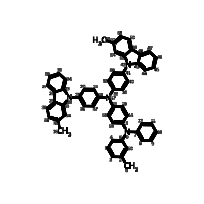 Cc1cccc(N(c2ccccc2)c2ccc(N(c3ccc(-n4c5ccccc5c5ccc(C)cc54)cc3)c3ccc(-n4c5ccccc5c5ccc(C)cc54)cc3)cc2)c1